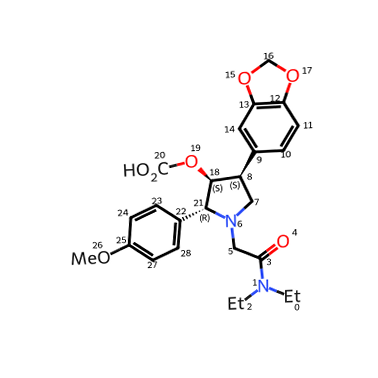 CCN(CC)C(=O)CN1C[C@H](c2ccc3c(c2)OCO3)[C@H](OC(=O)O)[C@H]1c1ccc(OC)cc1